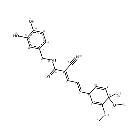 COC1=CC(/C=C/C=C(\C#N)C(=O)NCc2ccc(O)c(O)c2)C=CC1(O)OC